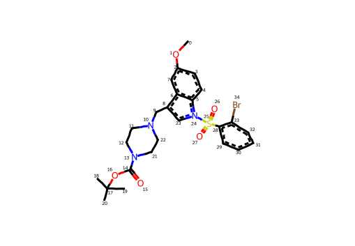 COc1ccc2c(c1)c(CN1CCN(C(=O)OC(C)(C)C)CC1)cn2S(=O)(=O)c1ccccc1Br